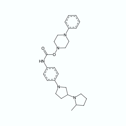 CC1CCCN1C1CCN(c2ccc(NC(=O)ON3CCN(c4ccccc4)CC3)cc2)C1